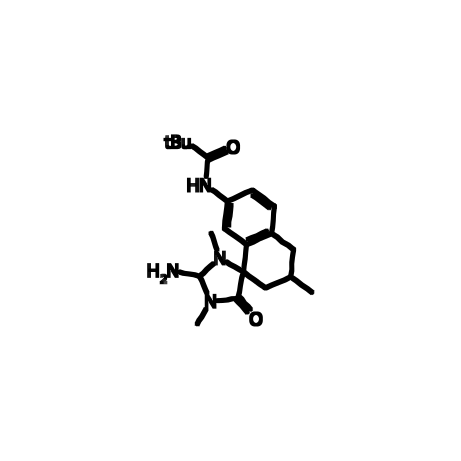 CC1Cc2ccc(NC(=O)C(C)(C)C)cc2C2(C1)C(=O)N(C)C(N)N2C